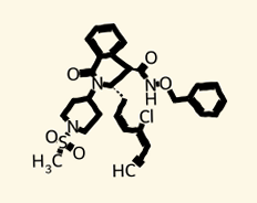 C#C/C=C(Cl)\C=C/C[C@H]1[C@H](C(=O)NOCc2ccccc2)c2ccccc2C(=O)N1C1CCN(S(C)(=O)=O)CC1